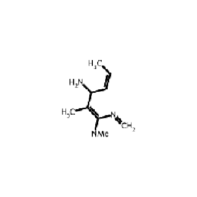 C=N/C(NC)=C(/C)C(N)/C=C\C